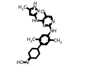 Cc1cc(Nc2nc(Nc3cc(C)c(C4CCC(=NO)CC4)cc3C)ncc2Cl)n[nH]1